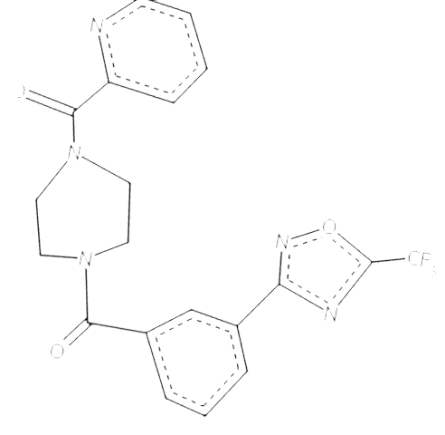 O=C(c1cccc(-c2noc(C(F)(F)F)n2)c1)N1CCN(C(=O)c2ccccn2)CC1